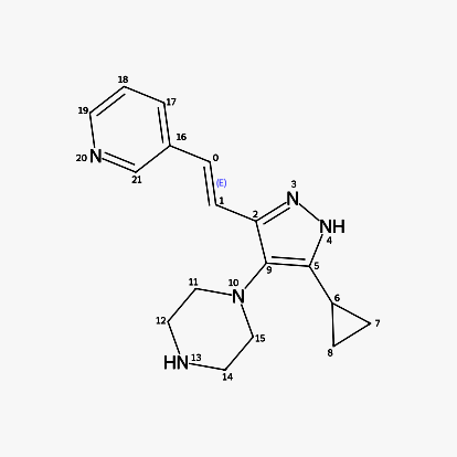 C(=C\c1n[nH]c(C2CC2)c1N1CCNCC1)/c1cccnc1